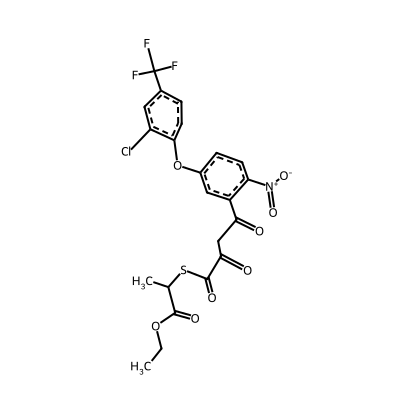 CCOC(=O)C(C)SC(=O)C(=O)CC(=O)c1cc(Oc2ccc(C(F)(F)F)cc2Cl)ccc1[N+](=O)[O-]